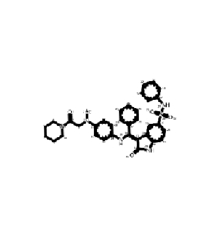 CC(=O)N(CC(=O)N1CCCCC1)c1ccc(N/C(=C2\C(=O)Nc3ccc(S(=O)(=O)Nc4ccccc4)cc32)c2ccccc2)cc1